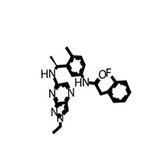 CCn1cc2ncc(N[C@@H](C)c3cc(NC(=O)Cc4ccccc4F)ccc3C)nc2n1